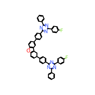 Fc1ccc(-c2nc(-c3ccccc3)nc(-c3ccc(-c4ccc5oc6c(c5c4)CC(c4ccc(-c5nc(-c7ccccc7)nc(-c7ccc(F)cc7)n5)cc4)C=C6)cc3)n2)cc1